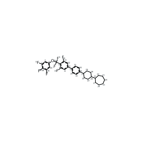 Fc1cc(OC(F)(F)c2c(F)cc(-c3ccc(C4CCC(C5CCCCCC5)CC4)cc3)cc2F)cc(F)c1F